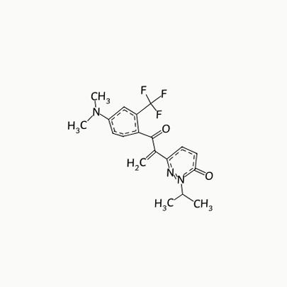 C=C(C(=O)c1ccc(N(C)C)cc1C(F)(F)F)c1ccc(=O)n(C(C)C)n1